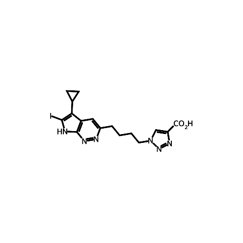 O=C(O)c1cn(CCCCc2cc3c(C4CC4)c(I)[nH]c3nn2)nn1